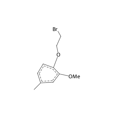 COc1cc(C)ccc1OCCBr